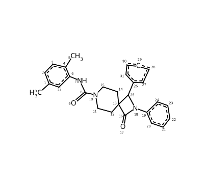 Cc1ccc(C)c(NC(=O)N2CCC3(CC2)C(=O)N(c2ccccc2)C3c2ccccc2)c1